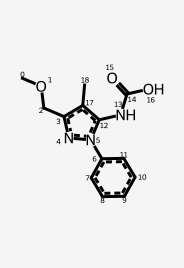 COCc1nn(-c2ccccc2)c(NC(=O)O)c1C